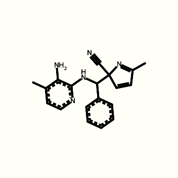 CC1=NC(C#N)(C(Nc2nccc(C)c2N)c2ccccc2)C=C1